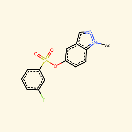 CC(=O)n1ncc2cc(OS(=O)(=O)c3cccc(F)c3)ccc21